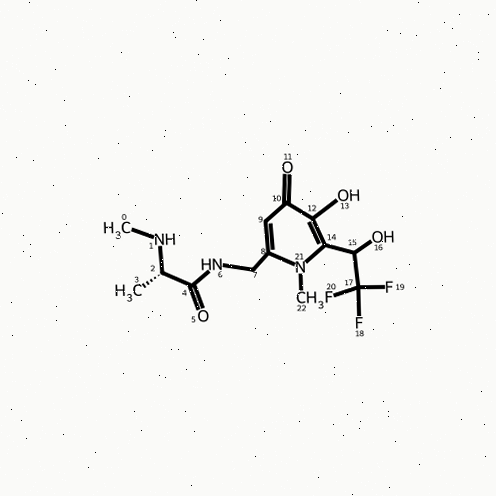 CN[C@@H](C)C(=O)NCc1cc(=O)c(O)c(C(O)C(F)(F)F)n1C